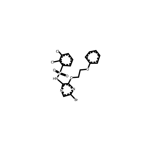 O=S(=O)(Nc1ncc(Br)nc1OCCOc1ccccc1)c1cccc(Cl)c1Cl